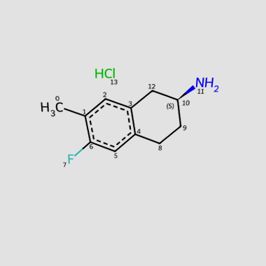 Cc1cc2c(cc1F)CC[C@H](N)C2.Cl